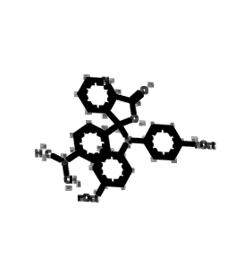 CCCCCCCCc1ccc(N(c2ccc(CCCCCCCC)cc2)C2(c3ccc(N(C)C)cc3)OC(=O)c3ncccc32)cc1